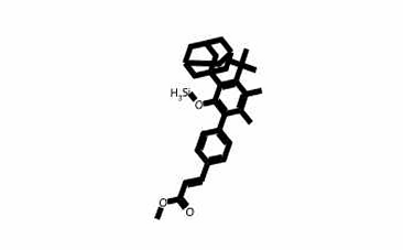 COC(=O)C=Cc1ccc(-c2c(C)c(C)c(C(C)(C)C)c(C34CC5CC(CC(C5)C3)C4)c2O[SiH3])cc1